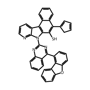 Sc1c(C2=CC=CC2)c2ccccc2c2c3cccnc3n(-c3nc(-c4cccc5oc6ccccc6c45)c4ccccc4n3)c12